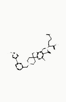 Cn1cc(-c2cccc(CN3CCC4(CC3)COc3c4cc(F)c4c3CN(C(CCC(=O)O)C(N)=O)C4=O)c2)cn1